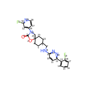 O=C1OC2(CCC(CNc3ccc(-c4ccccc4F)nn3)CC2)CN1c1ccnc(F)c1